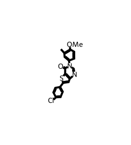 COc1ccc(-n2cnc3cc(-c4ccc(Cl)cc4)sc3c2=O)cc1C